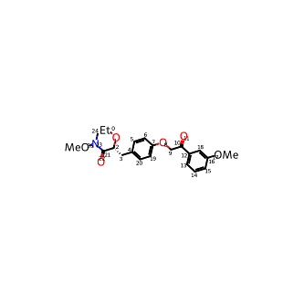 CCO[C@H](Cc1ccc(OCC(=O)c2cccc(OC)c2)cc1)C(=O)N(C)OC